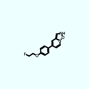 FCCOc1ccc(C2=CC3=CNON3C=C2)cc1